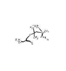 CC(=O)OC(C)(C)[Si](C)(C)C